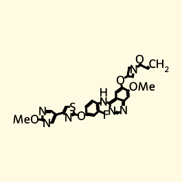 C=CC(=O)N1CC(Oc2cc3c(Nc4ccc(Oc5nc(-c6cnc(OC)nc6)cs5)cc4F)ncnc3cc2OC)C1